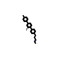 C/C=C/CCc1ccc(-c2ccc(-c3ccc(C)cc3)cc2F)cc1